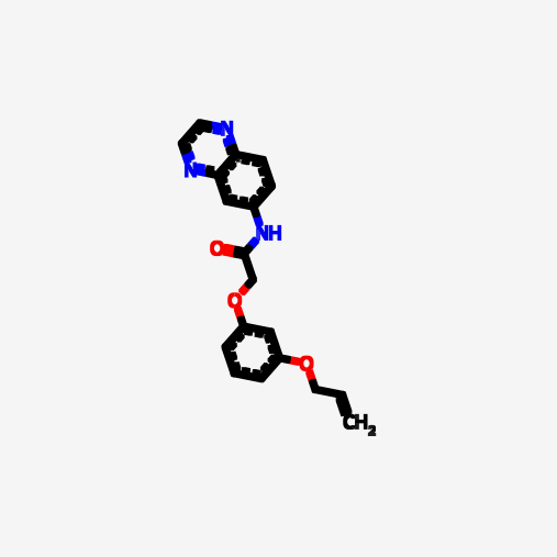 C=CCOc1cccc(OCC(=O)Nc2ccc3nccnc3c2)c1